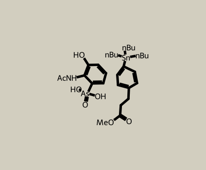 CC(=O)Nc1c(O)cccc1[As](=O)(O)O.CCC[CH2][Sn]([CH2]CCC)([CH2]CCC)[c]1ccc(CCC(=O)OC)cc1